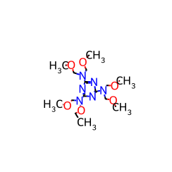 CCON(COC)c1nc(N(COC)COC)nc(N(COC)COC)n1